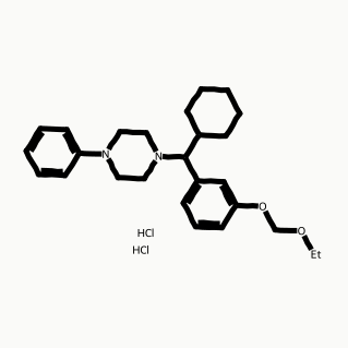 CCOCOc1cccc(C(C2CCCCC2)N2CCN(c3ccccc3)CC2)c1.Cl.Cl